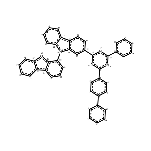 c1ccc(-c2ccc(-c3nc(-c4ccccc4)nc(-c4ccc5c6ccccc6n(-c6cccc7c6oc6ccccc67)c5c4)n3)cc2)cc1